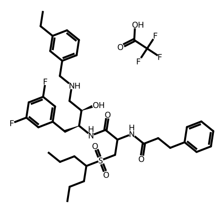 CCCC(CCC)S(=O)(=O)CC(NC(=O)CCc1ccccc1)C(=O)N[C@@H](Cc1cc(F)cc(F)c1)[C@H](O)CNCc1cccc(CC)c1.O=C(O)C(F)(F)F